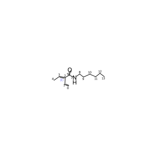 C=C/C(=C\C)C(=O)NCCCCCC